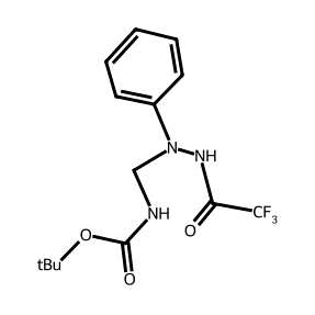 CC(C)(C)OC(=O)NCN(NC(=O)C(F)(F)F)c1ccccc1